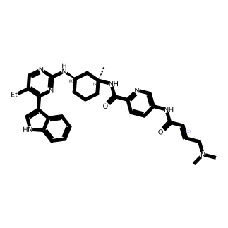 CCc1cnc(N[C@@H]2CCC[C@](C)(NC(=O)c3ccc(NC(=O)/C=C/CN(C)C)cn3)C2)nc1-c1c[nH]c2ccccc12